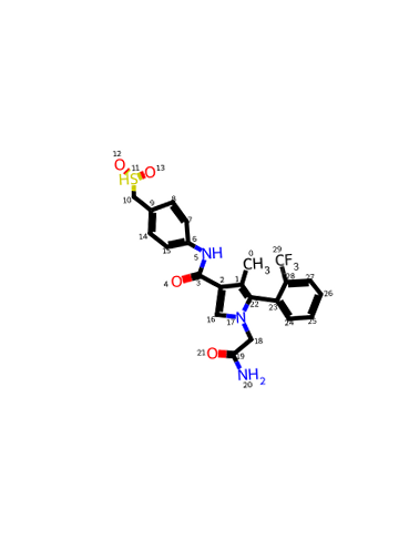 Cc1c(C(=O)Nc2ccc(C[SH](=O)=O)cc2)cn(CC(N)=O)c1-c1ccccc1C(F)(F)F